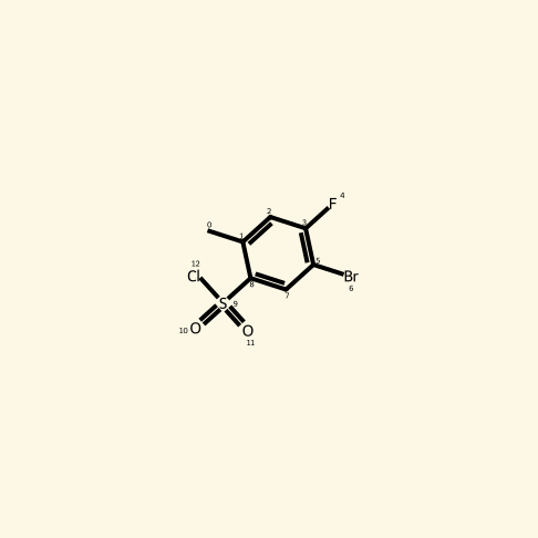 Cc1cc(F)c(Br)cc1S(=O)(=O)Cl